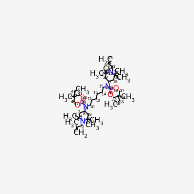 C=CCN1C(C)(C)CC(N(CCCCCCN(C2CC(C)(C)N(CC=C)C(C)(C)C2)P2OCC(C)(CC)CO2)P2OCC(C)(CC)CO2)CC1(C)C